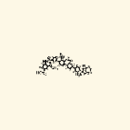 COc1cc(C(=O)O)c(F)cc1NS(=O)(=O)c1csc(-c2ccc(-c3ccc(-c4ccc(C5(C)CC6CCC[C@@H](C6)C5)cc4)cc3C(F)(F)F)cc2C(F)(F)F)n1